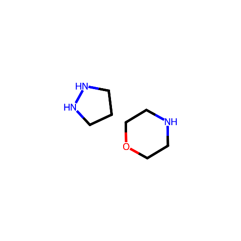 C1CNNC1.C1COCCN1